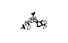 Cc1c([C@H](CNC(=O)OC(C)(C)C)S(=O)(=O)C2CC2)ccc2c1COC2=O